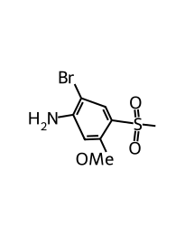 COc1cc(N)c(Br)cc1S(C)(=O)=O